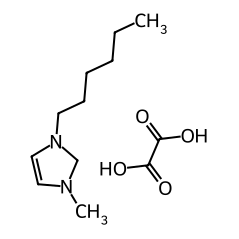 CCCCCCN1C=CN(C)C1.O=C(O)C(=O)O